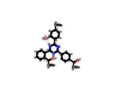 COC(=O)c1ccc(-c2nc(-c3ccc(OC)cc3O)nc(-c3ccccc3C(=O)OC)n2)cc1